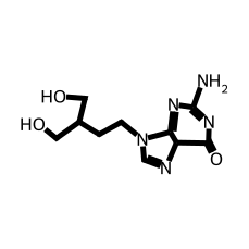 NC1=NC(=O)C2N=CN(CCC(CO)CO)C2=N1